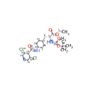 CCOC(=O)[C@@H](Cc1ccc(NC(=O)c2c(Cl)cncc2Cl)cc1)NC(=O)OC(C)(C)C